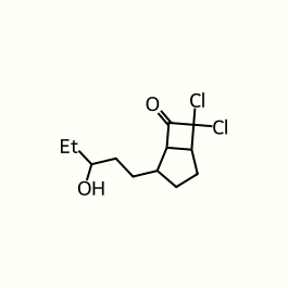 CCC(O)CCC1CCC2C1C(=O)C2(Cl)Cl